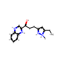 CC(=O)Cc1cc(CCC(=O)c2cnc3ccccc3n2)nn1C